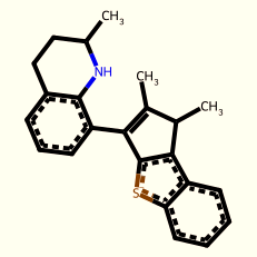 CC1=C(c2cccc3c2NC(C)CC3)c2sc3ccccc3c2C1C